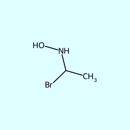 CC(Br)NO